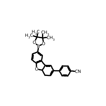 CC1(C)OB(c2ccc3c(c2)C2=CC(c4ccc(C#N)cc4)=CCC2O3)OC1(C)C